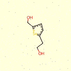 OCCc1ccc(CO)s1